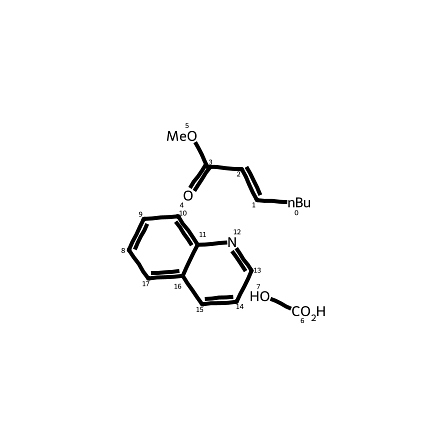 CCCCC=CC(=O)OC.O=C(O)O.c1ccc2ncccc2c1